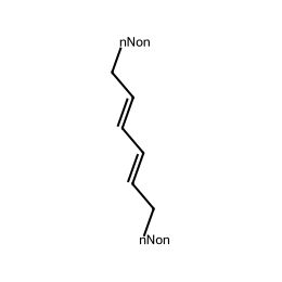 CCCCCCCCCC/C=C/C=C/CCCCCCCCCC